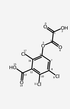 O=C(O)C(=O)Oc1cc(Cl)c(Cl)c(C(=O)O)c1Cl